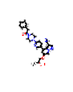 C[C@H](O)COc1cc(-c2ccc(N3CCN(C(=O)Cc4ccccc4)CC3)nc2)c2c(C#N)cnn2c1